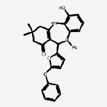 CC(=O)N1c2cccc(O)c2NC2=C(C(=O)CC(C)(C)C2)C1c1ccc(Oc2ccccc2)o1